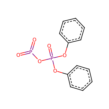 O=P(=O)OP(=O)(Oc1ccccc1)Oc1ccccc1